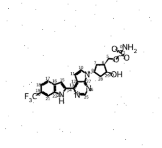 NS(=O)(=O)OC[C@@H]1C[C@@H](n2ccc3c(-c4cc5ccc(C(F)(F)F)cc5[nH]4)ncnc32)C[C@@H]1O